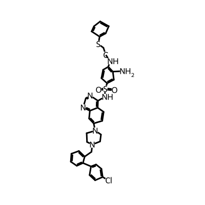 Nc1cc(S(=O)(=O)Nc2ncnc3cc(N4CCN(Cc5ccccc5-c5ccc(Cl)cc5)CC4)ccc23)ccc1NCCSc1ccccc1